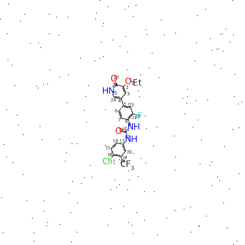 CCOc1cc(-c2ccc(NC(=O)Nc3ccc(Cl)c(C(F)(F)F)c3)c(F)c2)c[nH]c1=O